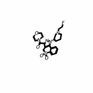 O=C(c1nn([C@H]2CCCN(CCF)C2)c2c1CS(=O)(=O)c1ccccc1-2)N1CCOCC1